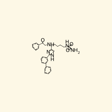 NS(=O)(=O)NCCCCC(NCC(=O)c1ccccc1)c1c[nH]c(-c2cccc(-c3ccccc3)c2)n1